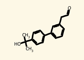 CC(C)(O)c1ccc(-c2cccc(CC=O)c2)cc1